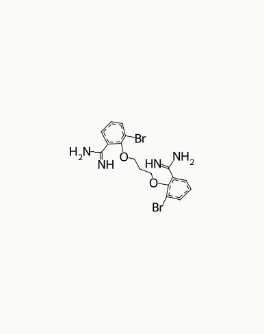 N=C(N)c1cccc(Br)c1OCCCOc1c(Br)cccc1C(=N)N